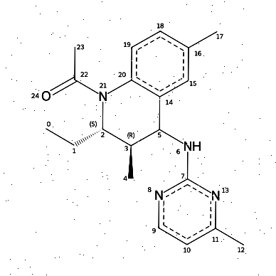 CC[C@H]1[C@H](C)C(Nc2nccc(C)n2)c2cc(C)ccc2N1C(C)=O